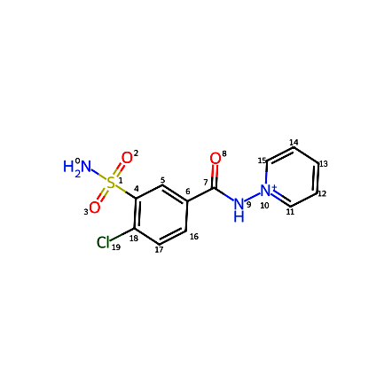 NS(=O)(=O)c1cc(C(=O)N[n+]2ccccc2)ccc1Cl